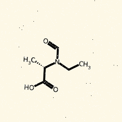 CCN(C=O)[C@@H](C)C(=O)O